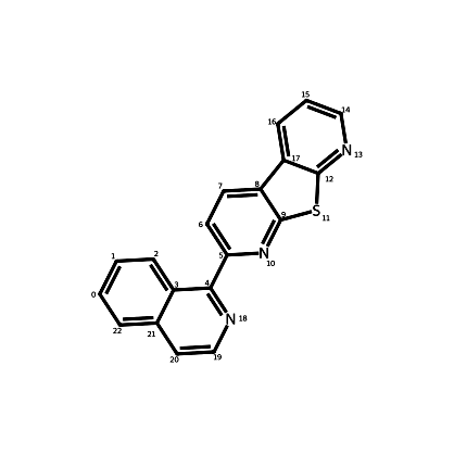 c1ccc2c(-c3ccc4c(n3)sc3ncccc34)nccc2c1